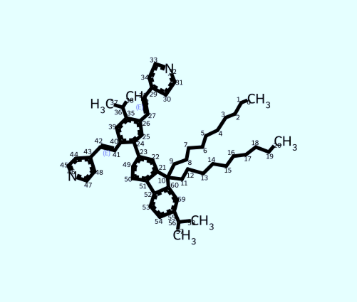 CCCCCCCCCCC1(CCCCCCCCCC)c2cc(-c3cc(/C=C/c4ccncc4)c(C(C)C)cc3/C=C/c3ccncc3)ccc2-c2ccc(C(C)C)cc21